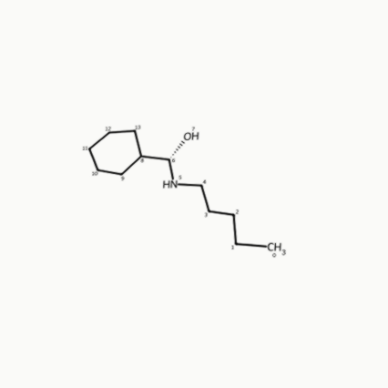 CCCCCN[C@@H](O)C1CCCCC1